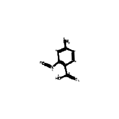 Bc1ccc(C(=O)O)c(N=O)c1